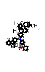 CC1CC2CC(C)C3(c4ccccc4-c4c(C5(C)C=CC(N(c6ccc7c(c6)C(C)(C)c6ccccc6-7)c6ccc7c(c6)oc6ccccc67)=CC5)cccc43)C(C1)C2